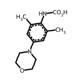 Cc1cc(N2CCOCC2)cc(C)c1NC(=O)O